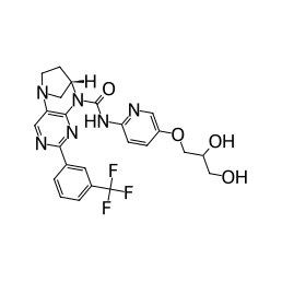 O=C(Nc1ccc(OCC(O)CO)cn1)N1c2nc(-c3cccc(C(F)(F)F)c3)ncc2N2CC[C@H]1C2